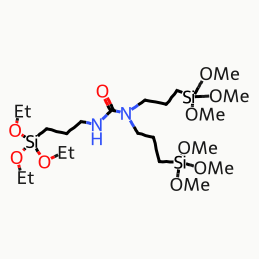 CCO[Si](CCCNC(=O)N(CCC[Si](OC)(OC)OC)CCC[Si](OC)(OC)OC)(OCC)OCC